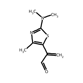 C=C(C=O)c1sc(N(C)C)nc1C